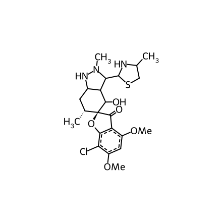 COc1cc(OC)c2c(c1Cl)O[C@]1(C2=O)C(O)C2C(C[C@H]1C)NN(C)C2C1NC(C)CS1